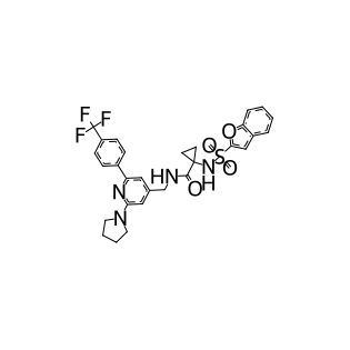 O=C(NCc1cc(-c2ccc(C(F)(F)F)cc2)nc(N2CCCC2)c1)C1(NS(=O)(=O)c2cc3ccccc3o2)CC1